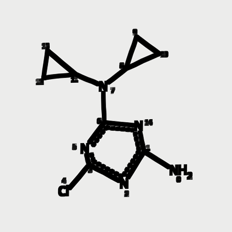 Nc1nc(Cl)nc(N(C2CC2)C2CC2)n1